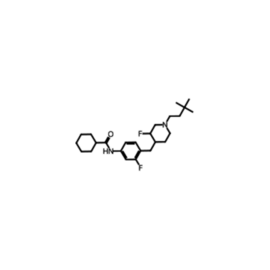 CC(C)(C)CCN1CCC(Cc2ccc(NC(=O)C3CCCCC3)cc2F)C(F)C1